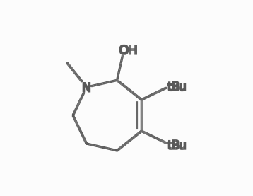 CN1CCCC(C(C)(C)C)=C(C(C)(C)C)C1O